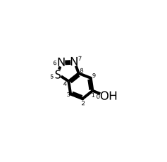 Oc1ccc2snnc2c1